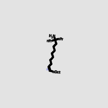 CCCCCCCC/C=C\CCCCCCCC(N)(CCC)CCC